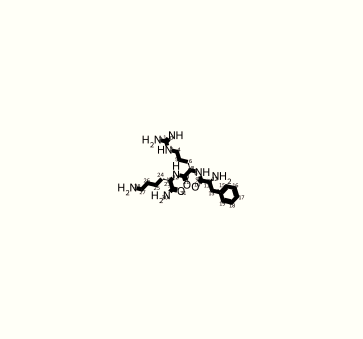 N=C(N)NCCC[C@H](NC(=O)[C@@H](N)Cc1ccccc1)C(=O)N[C@@H](CCCCN)C(N)=O